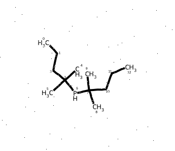 CCCC(C)(C)PC(C)(C)CCC